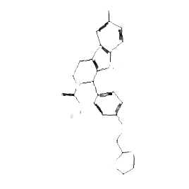 CC(C)OC(=O)N1CCc2c([nH]c3ccc(Cl)cc23)C1c1ccc(OCC2OCCO2)cc1